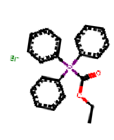 CCOC(=O)[P+](c1ccccc1)(c1ccccc1)c1ccccc1.[Br-]